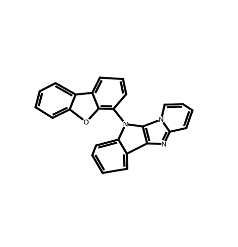 c1ccc2c(c1)oc1c(-n3c4ccccc4c4nc5ccccn5c43)cccc12